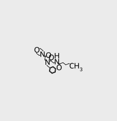 CCCCC(=O)NCC(=O)N(CC(=O)N1CCOCC1)Cc1ccccc1